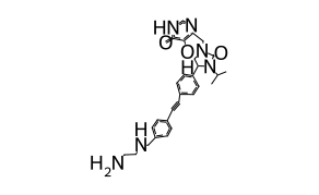 CC(C)N1C(=O)N(Cc2nc[nH]c(=O)c2O)CC1c1ccc(C#Cc2ccc(CNCCN)cc2)cc1